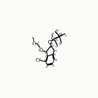 COCO[C@@H]1c2c(Cl)cccc2CC1O[Si](C)(C)C(C)(C)C